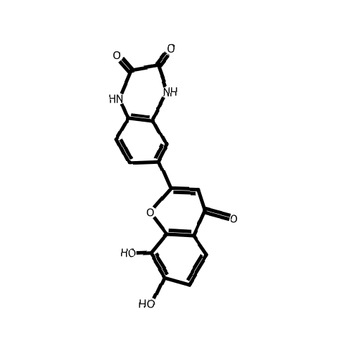 O=c1[nH]c2ccc(-c3cc(=O)c4ccc(O)c(O)c4o3)cc2[nH]c1=O